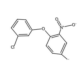 [CH2]c1ccc(Oc2cccc(Cl)c2)c([N+](=O)[O-])c1